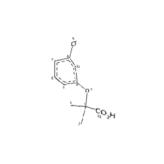 CC(C)(Oc1cccc(Cl)c1)C(=O)O